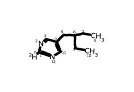 [2H]c1ncc(CC(CC)CC)cn1